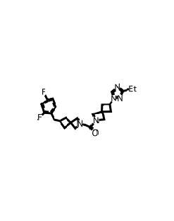 CCc1ncn(C2CC3(C2)CN(C(=O)N2CC4(CC(Cc5ccc(F)cc5F)C4)C2)C3)n1